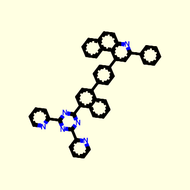 c1ccc(-c2cc(-c3ccc(-c4ccc(-c5nc(-c6ccccn6)nc(-c6ccccn6)n5)c5ccccc45)cc3)c3c(ccc4ccccc43)n2)cc1